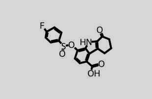 O=C1CCCc2c1[nH]c1c(OS(=O)c3ccc(F)cc3)ccc(C(=O)O)c21